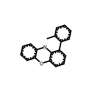 Cc1ccccc1-c1cccc2c1[N]c1ccccc1O2